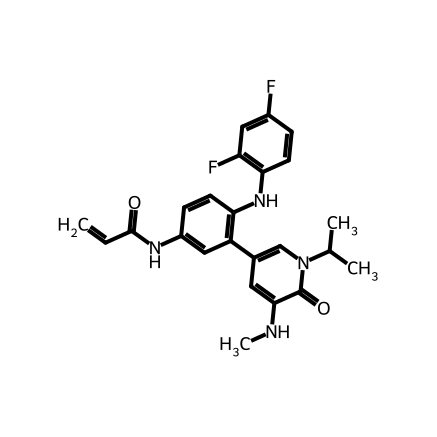 C=CC(=O)Nc1ccc(Nc2ccc(F)cc2F)c(-c2cc(NC)c(=O)n(C(C)C)c2)c1